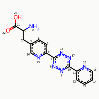 NC(Cc1ccc(-c2nnc(-c3ccccn3)nn2)nc1)C(=O)O